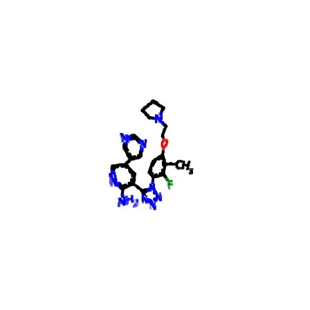 Cc1c(OCCN2CCCC2)ccc(-n2nnnc2-c2cc(-c3cncnc3)cnc2N)c1F